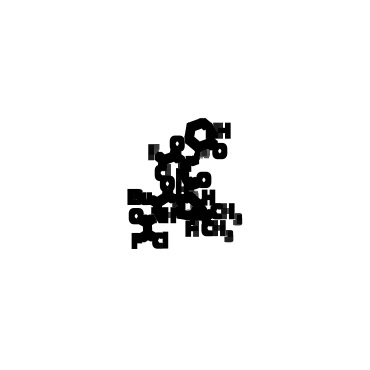 CCC(C)C(NC(=O)C(F)Cl)C(=O)N1C[C@H]2[C@@H]([C@H]1C(=O)NN(C[C@@H]1CCCNC1=O)C(=O)C(F)Cl)C2(C)C